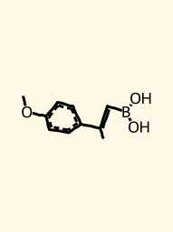 COc1ccc(C(C)=CB(O)O)cc1